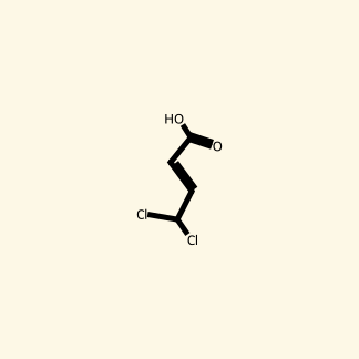 O=C(O)C=CC(Cl)Cl